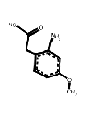 COc1ccc(CC(=O)O)c(N)c1